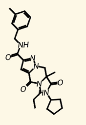 CCCN1C(=O)c2cc(C(=O)NCc3cccc(C)c3)nn2CC1(C)C(=O)NC1CCCC1